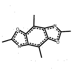 Cc1nc2c(C)c3oc(C)nc3c(C)c2o1